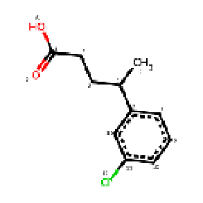 CC(CCC(=O)O)c1cccc(Cl)c1